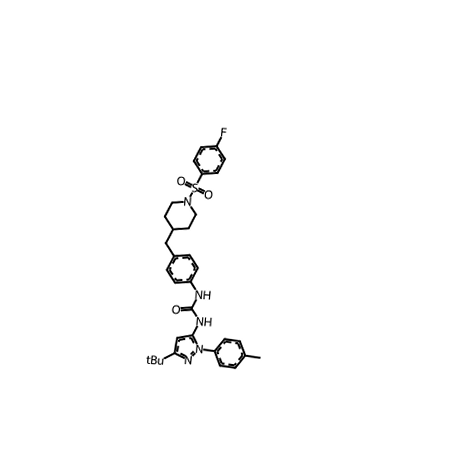 Cc1ccc(-n2nc(C(C)(C)C)cc2NC(=O)Nc2ccc(CC3CCN(S(=O)(=O)c4ccc(F)cc4)CC3)cc2)cc1